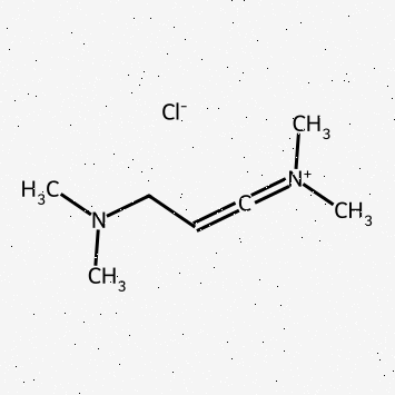 CN(C)CC=C=[N+](C)C.[Cl-]